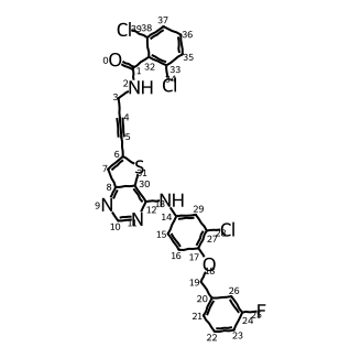 O=C(NCC#Cc1cc2ncnc(Nc3ccc(OCc4cccc(F)c4)c(Cl)c3)c2s1)c1c(Cl)cccc1Cl